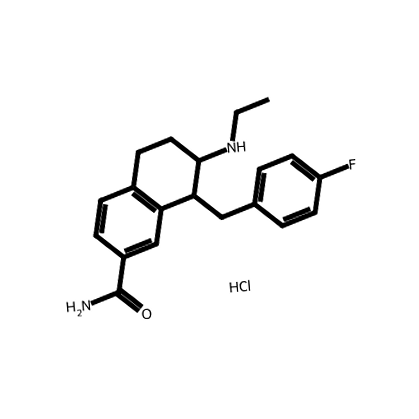 CCNC1CCc2ccc(C(N)=O)cc2C1Cc1ccc(F)cc1.Cl